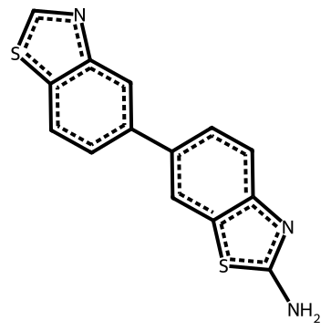 Nc1nc2ccc(-c3ccc4scnc4c3)cc2s1